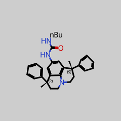 CCCCNC(=O)Nc1cc2c3c(c1)[C@@](C)(c1ccccc1)CCN3CC[C@@]2(C)c1ccccc1